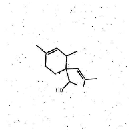 CC(C)=CC1(C(C)O)CCC(C)=CC1C